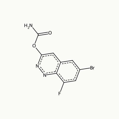 NC(=O)Oc1cc2cc(Br)cc(F)c2nn1